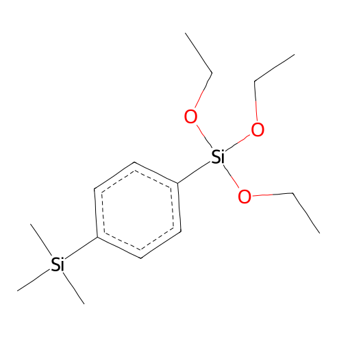 CCO[Si](OCC)(OCC)c1ccc([Si](C)(C)C)cc1